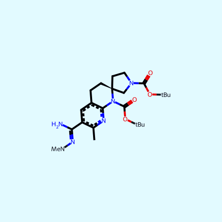 CN/N=C(\N)c1cc2c(nc1C)N(C(=O)OC(C)(C)C)[C@]1(CC2)CCN(C(=O)OC(C)(C)C)C1